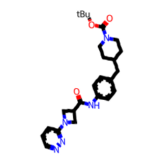 CC(C)(C)OC(=O)N1CCC(Cc2ccc(NC(=O)C3CN(c4cccnn4)C3)cc2)CC1